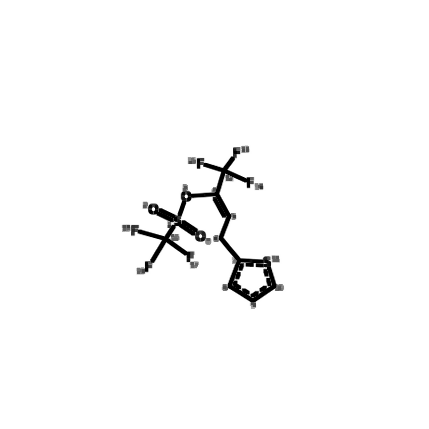 O=S(=O)(OC(=CCc1cccs1)C(F)(F)F)C(F)(F)F